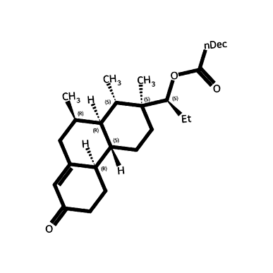 CCCCCCCCCCC(=O)O[C@@H](CC)[C@@]1(C)CC[C@H]2[C@@H]([C@H](C)CC3=CC(=O)CC[C@@H]32)[C@@H]1C